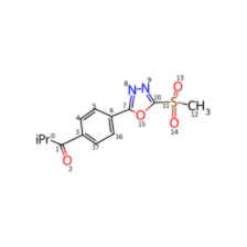 CC(C)C(=O)c1ccc(-c2nnc(S(C)(=O)=O)o2)cc1